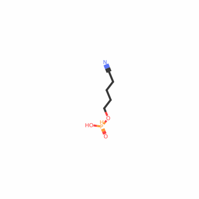 N#CCCCCO[PH](=O)O